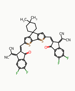 CC1(C)CCC2(CC1)c1cc(/C=C3\C(=O)c4cc(F)c(F)cc4C3=C(C#N)C#N)sc1-c1sc(/C=C3\C(=O)c4cc(F)c(F)cc4C3=C(C#N)C#N)cc12